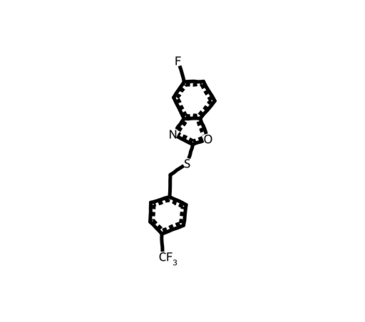 Fc1ccc2oc(SCc3ccc(C(F)(F)F)cc3)nc2c1